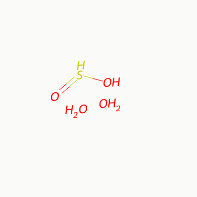 O.O.O=[SH]O